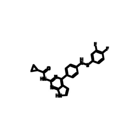 O=C(Nc1nc(-c2ccc(NSc3ccc(F)c(F)c3)cc2)c2cc[nH]c2n1)C1CC1